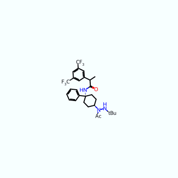 CC(=O)N(NC(C)(C)C)[C@H]1CC[C@@](NC(=O)C(C)c2cc(C(F)(F)F)cc(C(F)(F)F)c2)(c2ccccc2)CC1